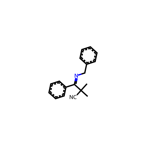 CC(C)(C#N)/C(=N\Cc1ccccc1)c1ccccc1